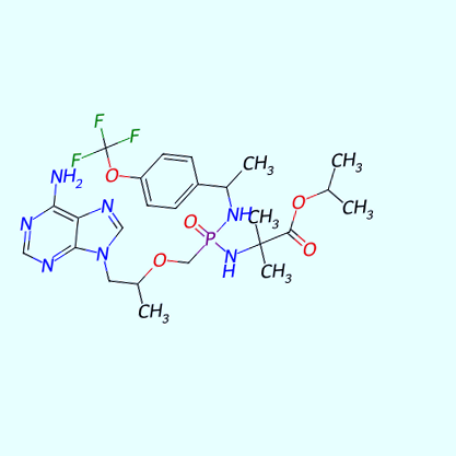 CC(C)OC(=O)C(C)(C)NP(=O)(COC(C)Cn1cnc2c(N)ncnc21)NC(C)c1ccc(OC(F)(F)F)cc1